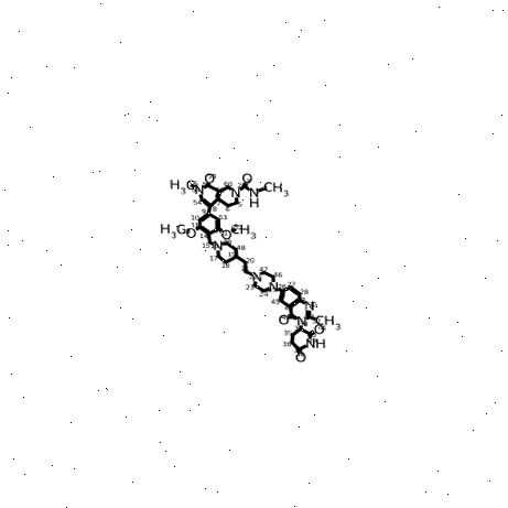 CNC(=O)N1CCc2c(-c3cc(OC)c(CN4CCC(CCN5CCN(c6ccc7nc(C)n(C8CCC(=O)NC8=O)c(=O)c7c6)CC5)CC4)c(OC)c3)cn(C)c(=O)c2C1